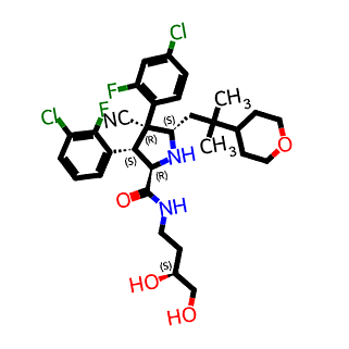 CC(C)(C[C@@H]1N[C@@H](C(=O)NCC[C@H](O)CO)[C@H](c2cccc(Cl)c2F)[C@@]1(C#N)c1ccc(Cl)cc1F)C1CCOCC1